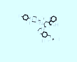 Cc1cc(F)ccc1N1CCN(C(=O)N[C@@H](C(=O)N2CCSc3ccc(CN(C)C)cc32)[C@@H](C)c2c[nH]c3ccccc23)CC1